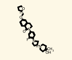 CC1(O)CCN([C@@H]2CCN(c3ccc(N4CCc5cc(OC[C@@H]6CCCO6)ccc5C4=O)cc3F)C2)CC1